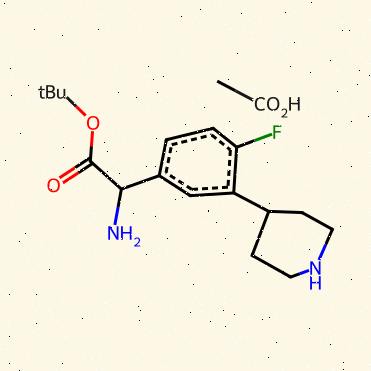 CC(=O)O.CC(C)(C)OC(=O)C(N)c1ccc(F)c(C2CCNCC2)c1